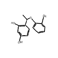 CC(Oc1ccccc1O)c1ccc(O)cc1O